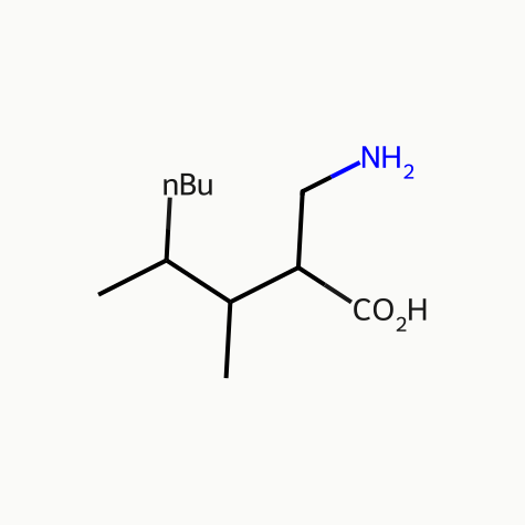 CCCCC(C)C(C)C(CN)C(=O)O